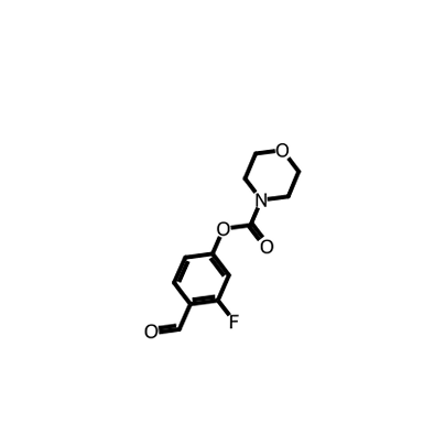 O=Cc1ccc(OC(=O)N2CCOCC2)cc1F